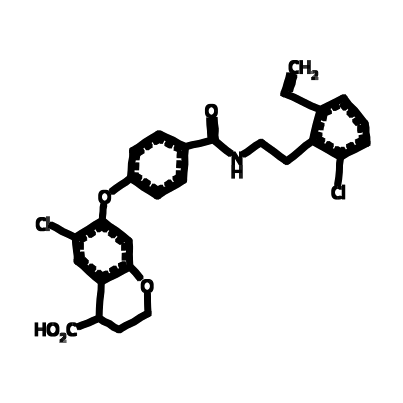 C=Cc1cccc(Cl)c1CCNC(=O)c1ccc(Oc2cc3c(cc2Cl)C(C(=O)O)CCO3)cc1